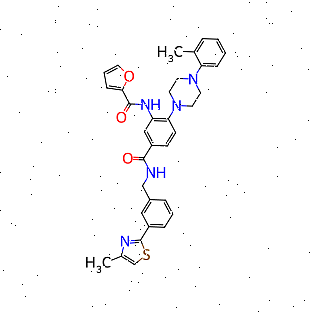 Cc1csc(-c2cccc(CNC(=O)c3ccc(N4CCN(c5ccccc5C)CC4)c(NC(=O)c4ccco4)c3)c2)n1